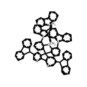 C=Cc1c(C=C)n(-c2cccc3c2Oc2c(-n4c5ccccc5c5cc(-n6c7ccccc7c7ccncc76)ccc54)cccc2C32c3cc(C4c5c#cccc5-c5ccccc54)cnc3-c3ncc(C4c5ccccc5-c5ccccc54)cc32)c2ccccc12